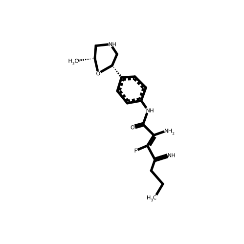 CCCC(=N)/C(F)=C(\N)C(=O)Nc1ccc([C@H]2CNC[C@@H](C)O2)cc1